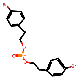 O=[PH](OCCc1ccc(Br)cc1)OCCc1ccc(Br)cc1